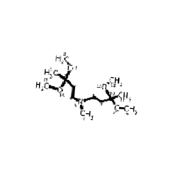 COC(C)(CCN(C)CCC(C)(OC)OC)OC